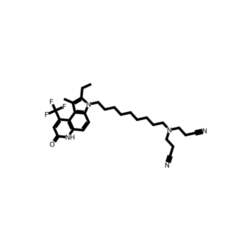 CCc1c(C)c2c3c(C(F)(F)F)cc(=O)[nH]c3ccc2n1CCCCCCCCCN(CCC#N)CCC#N